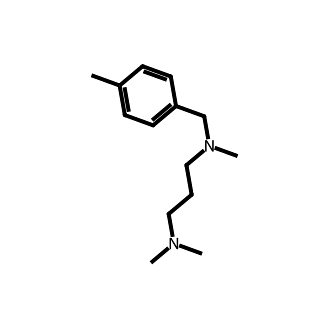 Cc1ccc(CN(C)CCCN(C)C)cc1